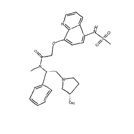 CN(C(=O)COc1ccc(NS(C)(=O)=O)c2cccnc12)[C@H](CN1CC[C@H](O)C1)c1ccccc1